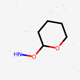 [NH]OC1CCCCO1